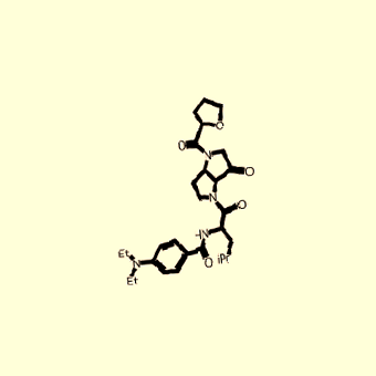 CCN(CC)c1ccc(C(=O)NC(CC(C)C)C(=O)N2CCC3C2C(=O)CN3C(=O)C2CCCO2)cc1